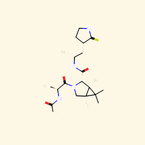 CC(C)(C)[C@H](NC(=O)C(F)(F)F)C(=O)N1C[C@H]2[C@@H]([C@H]1C(=O)N[C@H](C#N)C[C@@H]1CCNC1=S)C2(C)C